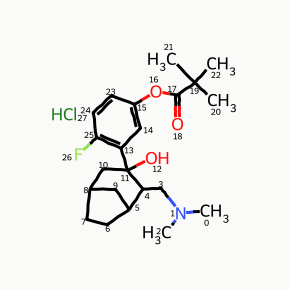 CN(C)CC1C2CCC(C2)CC1(O)c1cc(OC(=O)C(C)(C)C)ccc1F.Cl